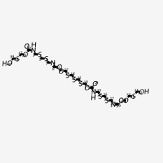 O=C(NCSCSC/N=C/OOCSCSCSCOC(=O)NCSCSC/N=C\OOCSCO)OCSCO